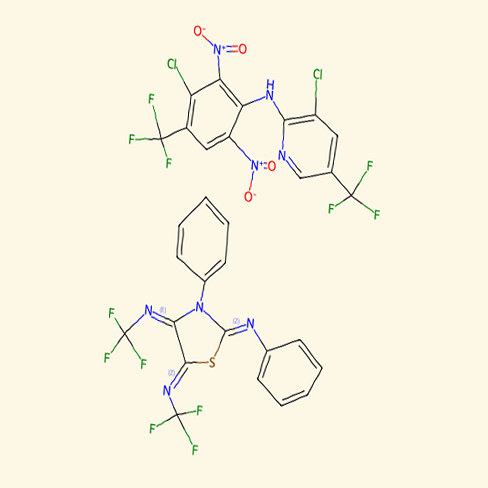 FC(F)(F)/N=C1\S/C(=N\c2ccccc2)N(c2ccccc2)\C1=N\C(F)(F)F.O=[N+]([O-])c1cc(C(F)(F)F)c(Cl)c([N+](=O)[O-])c1Nc1ncc(C(F)(F)F)cc1Cl